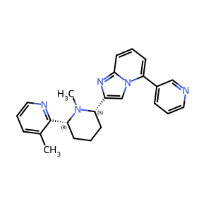 Cc1cccnc1[C@H]1CCC[C@@H](c2cn3c(-c4cccnc4)cccc3n2)N1C